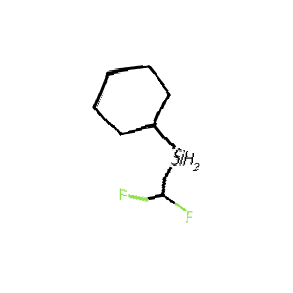 FC(F)[SiH2]C1CCCCC1